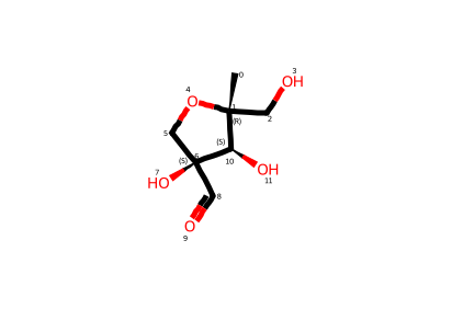 C[C@]1(CO)OC[C@@](O)(C=O)[C@@H]1O